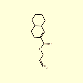 C=CCOC(=O)C1=CC2CCCCC2CC1